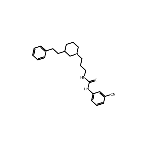 N#Cc1cccc(NC(=O)NCCCN2CCCC(CCc3ccccc3)C2)c1